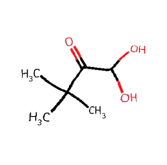 CC(C)(C)C(=O)C(O)O